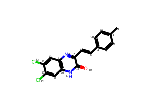 Cc1ccc(C=Cc2nc3cc(Cl)c(Cl)cc3[nH]c2=O)cc1